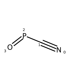 N#CP=O